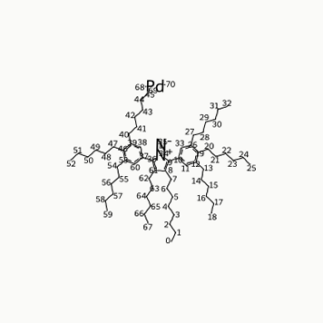 CCCCCCCCC1=C(c2cc(CCCCCC)c(CCCCCC)c(CCCCCC)c2)[N+](=[N-])C(c2cc(CCCCCC)c(CCCCCC)c(CCCCCC)c2)=C1CCCCCC.[CH3][Pd][CH3]